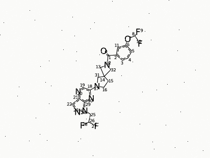 O=C(c1cccc(OC(F)F)c1)N1CC2(CCN(c3cnc4cnn(CC(F)F)c4n3)C2)C1